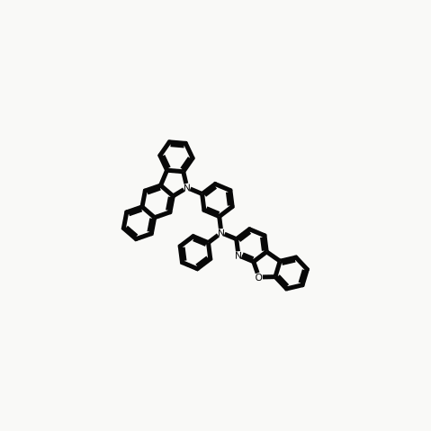 c1ccc(N(c2cccc(-n3c4ccccc4c4cc5ccccc5cc43)c2)c2ccc3c(n2)oc2ccccc23)cc1